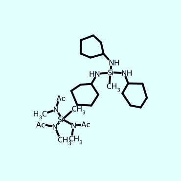 CC(=O)N(C)[Si](C)(N(C)C(C)=O)N(C)C(C)=O.C[Si](NC1CCCCC1)(NC1CCCCC1)NC1CCCCC1